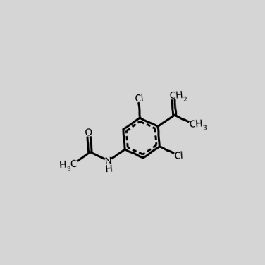 C=C(C)c1c(Cl)cc(NC(C)=O)cc1Cl